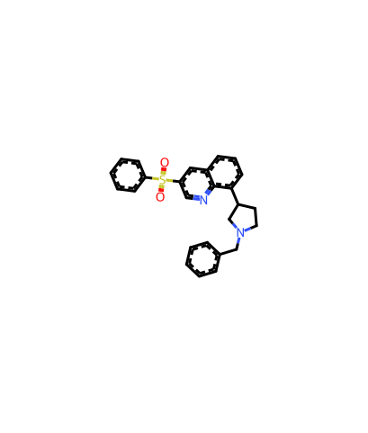 O=S(=O)(c1ccccc1)c1cnc2c(C3CCN(Cc4ccccc4)C3)cccc2c1